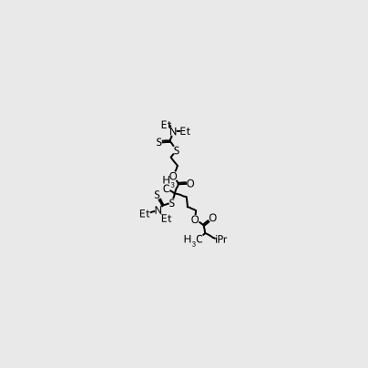 CCN(CC)C(=S)SCCOC(=O)C(C)(CCCOC(=O)C(C)C(C)C)SC(=S)N(CC)CC